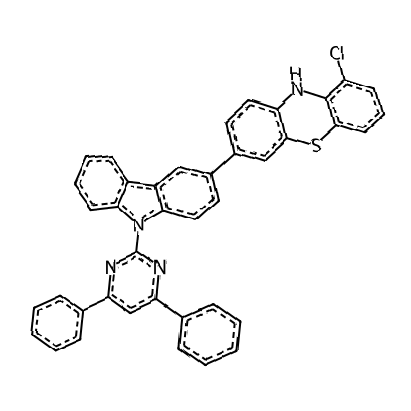 Clc1cccc2c1Nc1ccc(-c3ccc4c(c3)c3ccccc3n4-c3nc(-c4ccccc4)cc(-c4ccccc4)n3)cc1S2